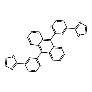 c1ccc2c(-c3cc(-c4ncco4)ccn3)c3ccccc3c(-c3cc(-c4ncco4)ccn3)c2c1